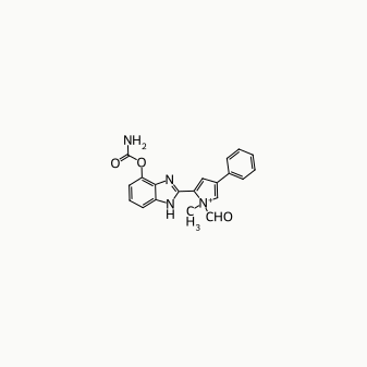 C[N+]1(C=O)C=C(c2ccccc2)C=C1c1nc2c(OC(N)=O)cccc2[nH]1